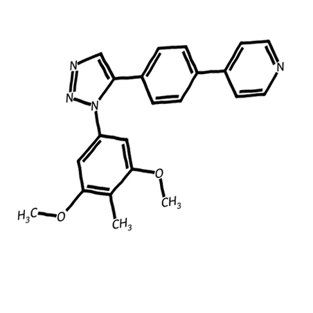 COc1cc(-n2nncc2-c2ccc(-c3ccncc3)cc2)cc(OC)c1C